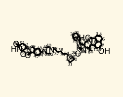 C#Cc1cccc2cc(O)cc(-c3ncc4c(N5CC6CCC(C6)C5)nc(OC[C@@H]5CCCN5CCCCCN5CCN(c6ccc7c(c6)CN([C@H]6CCC(=O)NC6=O)C7=O)CC5)nc4c3F)c12